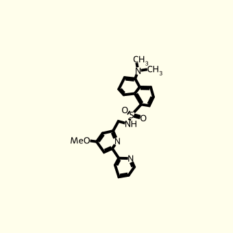 COc1cc(CNS(=O)(=O)c2cccc3c(N(C)C)cccc23)nc(-c2ccccn2)c1